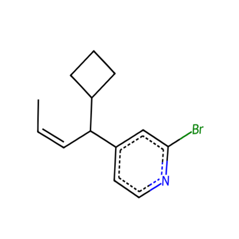 C/C=C\C(c1ccnc(Br)c1)C1CCC1